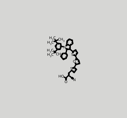 CC(C)(C)c1cc(-n2c(-c3ccccc3)c(-c3ccc(-c4ccc(-c5ccc(/C=C(\C#N)C(=O)O)s5)o4)s3)c3ccccc32)cc(C(C)(C)C)c1